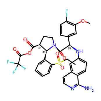 CCS(=O)(=O)c1ccccc1[C@H]1[C@@H](C(=O)OC(=O)C(F)(F)F)CCN1C(=O)[C@H](Nc1ccc2c(N)nccc2c1)c1ccc(F)c(OC)c1